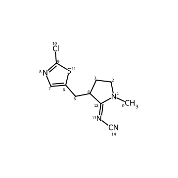 CN1CCC(Cc2cnc(Cl)s2)C1=NC#N